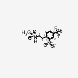 CS(=O)(=O)NCCc1ccc(C(F)(F)F)cc1[N+](=O)[O-]